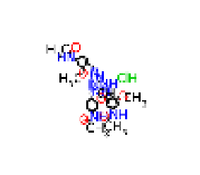 COc1cc(NC(C)=O)ccc1/C=N/N=C(N/N=C/c1ccc(NC(C)=O)cc1OC)N/N=C/c1ccc(NC(C)=O)cc1OC.Cl